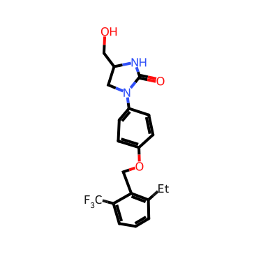 CCc1cccc(C(F)(F)F)c1COc1ccc(N2CC(CO)NC2=O)cc1